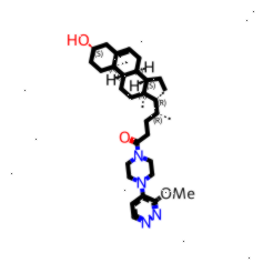 COc1nnccc1N1CCN(C(=O)CC[C@@H](C)[C@H]2CC[C@H]3[C@@H]4CC=C5C[C@@H](O)CC[C@]5(C)[C@H]4CC[C@]23C)CC1